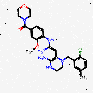 COc1cc(C(=O)N2CCOCC2)ccc1N/C(N)=C/C1=C(N)NCCN1Cc1cc(C)ccc1Cl